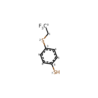 FC(F)(F)CSc1ccc(S)cc1